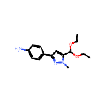 CCOC(OCC)c1cc(-c2ccc(N)cc2)nn1C